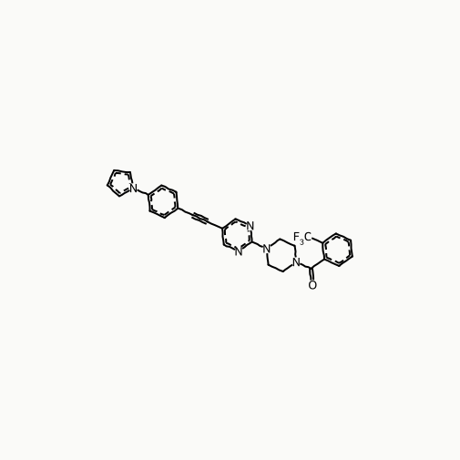 O=C(c1ccccc1C(F)(F)F)N1CCN(c2ncc(C#Cc3ccc(-n4cccc4)cc3)cn2)CC1